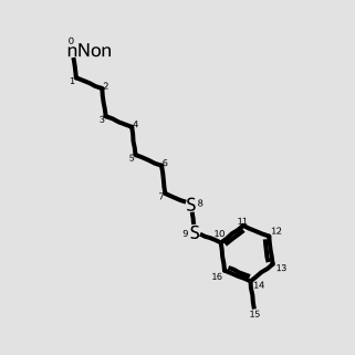 CCCCCCCCCCCCCCCCSSc1cccc(C)c1